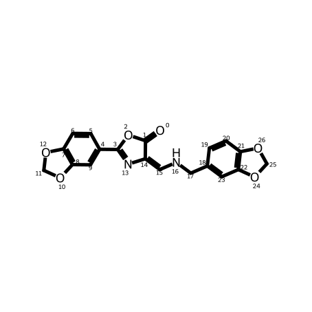 O=C1OC(c2ccc3c(c2)OCO3)=N/C1=C/NCc1ccc2c(c1)OCO2